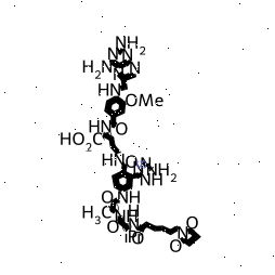 COc1cc(C(=O)N[C@@H](CCCNC(=O)c2ccc(NC(=O)[C@H](C)NC(=O)[C@@H](NC(=O)CCCCCN3C(=O)C=CC3=O)C(C)C)cc2C(=N)/N=N\N)C(=O)O)ccc1NCc1cnc2nc(N)nc(N)c2n1